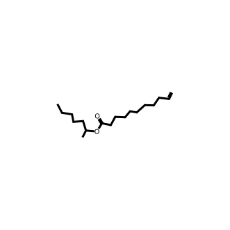 C=CCCCCCCCCC(=O)OC(C)CCCCC